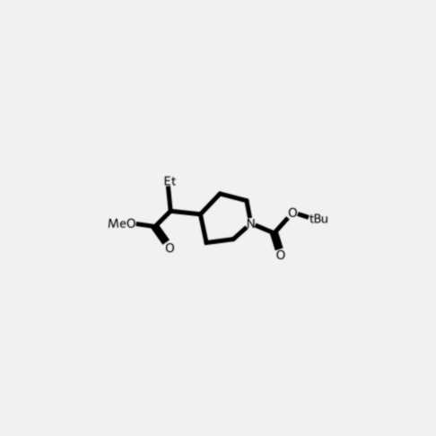 CCC(C(=O)OC)C1CCN(C(=O)OC(C)(C)C)CC1